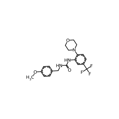 COc1ccc(CNC(=O)Nc2cc(C(F)(F)F)ccc2N2CCOCC2)cc1